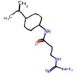 CC(C)C1CCC(NC(=O)CCNC(=N)N)CC1